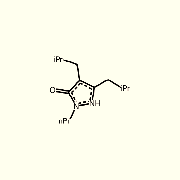 CCCn1[nH]c(CC(C)C)c(CC(C)C)c1=O